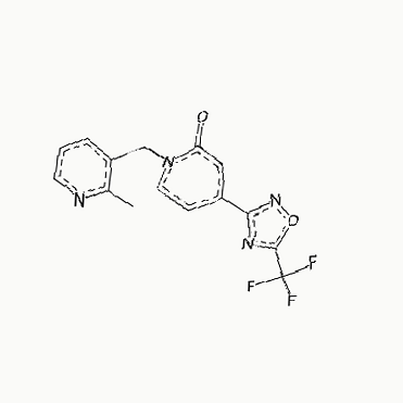 Cc1ncccc1Cn1ccc(-c2noc(C(F)(F)F)n2)cc1=O